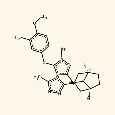 Cc1nnc(N2C[C@H]3CC[C@@H](C2)C3Nc2nc(Oc3ccc(OC(F)(F)F)c(C(F)(F)F)c3)n(C(C)C)n2)o1